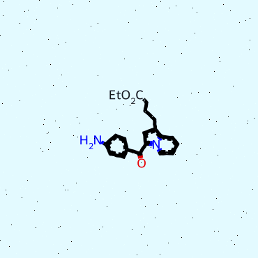 CCOC(=O)CCCc1cc(C(=O)c2ccc(N)cc2)n2ccccc12